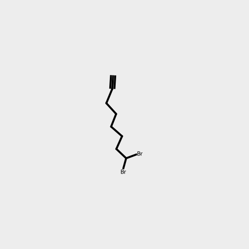 C#CCCCCCC(Br)Br